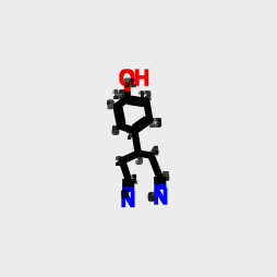 N#CCC(CC#N)c1ccc(O)cc1